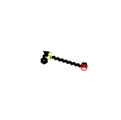 c1ccc(CC2(CSCCCCCCCCCCCCCCCC3CCCO3)CC2)cc1